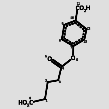 O=C(O)CCCC(=O)Oc1ccc(C(=O)O)cc1